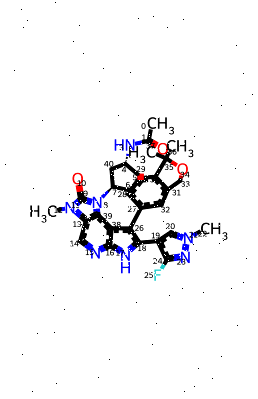 CC(=O)N[C@@H]1CC[C@@H](n2c(=O)n(C)c3cnc4[nH]c(-c5cn(C)nc5F)c(-c5ccc6c(c5)COC6(C)C)c4c32)C1